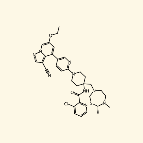 CCOc1cc(-c2ccc(N3CCC(CN4CCN(C)[C@@H](C)SC4)(NC(=O)c4ncccc4Cl)CC3)nc2)c2c(C#N)cnn2c1